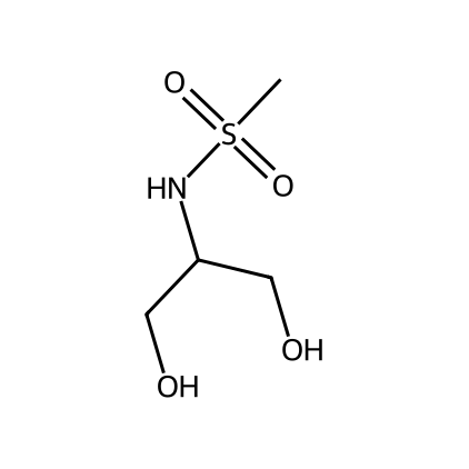 CS(=O)(=O)NC(CO)CO